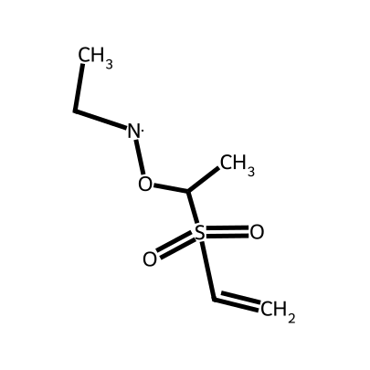 C=CS(=O)(=O)C(C)O[N]CC